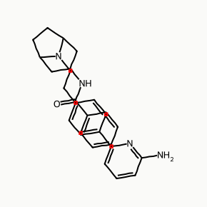 Nc1cccc(-c2ccc(CCN3C4CCC3CC(NC(=O)c3ccccc3)C4)cc2)n1